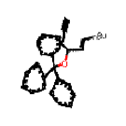 C#CCC(/C=C/CCCC)OC(c1ccccc1)(c1ccccc1)c1ccccc1